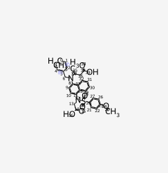 C/C=C\C(=C/C)CN(c1ccc(N(CC(=O)O)S(=O)(=O)c2ccc(OC)cc2)c2ccccc12)[C@@H](C)CC(=O)O